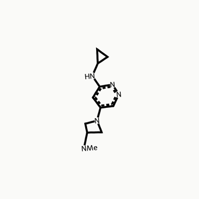 CNC1CN(c2cnnc(NC3CC3)c2)C1